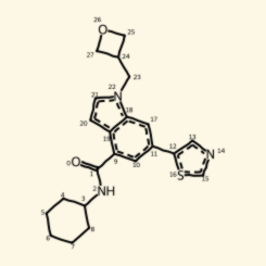 O=C(NC1CCCCC1)c1cc(-c2cncs2)cc2c1ccn2CC1COC1